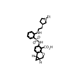 CCN1CC[C@H](CCNc2ccccc2S(=O)(=O)Nc2ccc3c(c2C(=O)O)OC[C@@H]2C[C@H]32)C1